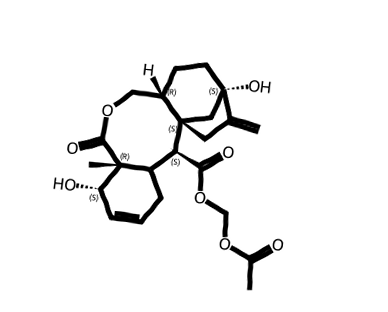 C=C1C[C@]23C[C@@]1(O)CC[C@H]2COC(=O)[C@]1(C)C(CC=C[C@@H]1O)[C@@H]3C(=O)OCOC(C)=O